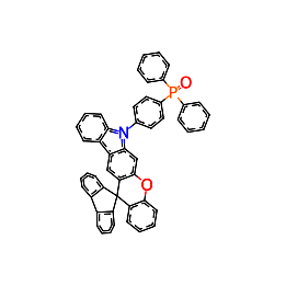 O=P(c1ccccc1)(c1ccccc1)c1ccc(-n2c3ccccc3c3cc4c(cc32)Oc2ccccc2C42c3ccccc3-c3ccccc32)cc1